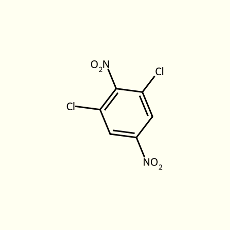 O=[N+]([O-])c1cc(Cl)c([N+](=O)[O-])c(Cl)c1